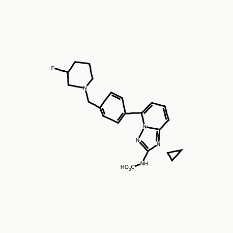 C1CC1.O=C(O)Nc1nc2cccc(-c3ccc(CN4CCCC(F)C4)cc3)n2n1